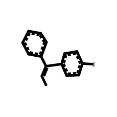 C/C=C(/c1ccccc1)c1ccc(I)cc1